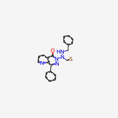 O=c1c2cccnc2c(-c2ccccc2)nn1N(C=S)NCc1ccccc1